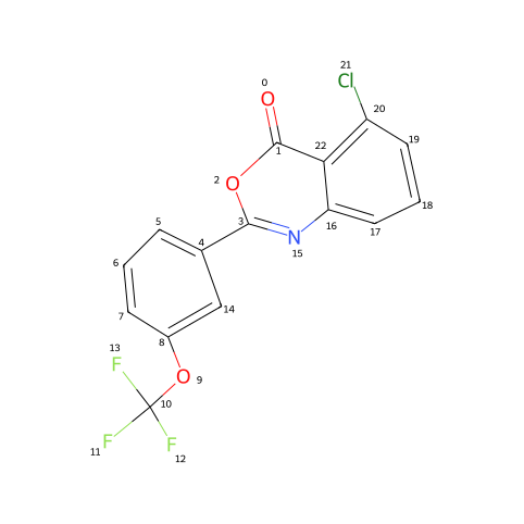 O=c1oc(-c2cccc(OC(F)(F)F)c2)nc2cccc(Cl)c12